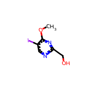 COc1nc(CO)ncc1I